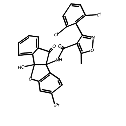 Cc1onc(-c2c(Cl)cccc2Cl)c1C(=O)NC12C(=O)c3ccccc3C1(O)Oc1cc(C(C)C)ccc12